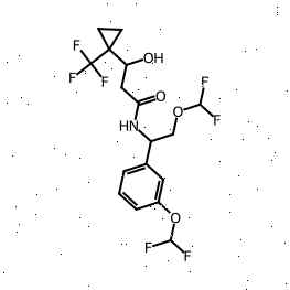 O=C(CC(O)C1(C(F)(F)F)CC1)NC(COC(F)F)c1cccc(OC(F)F)c1